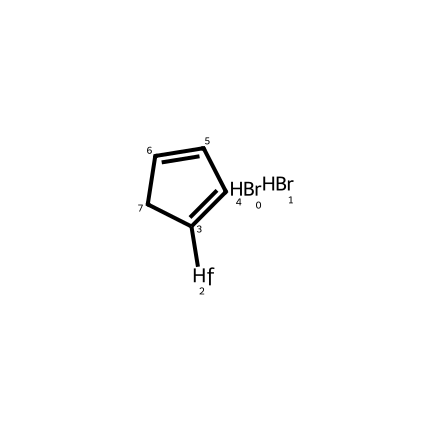 Br.Br.[Hf][C]1=CC=CC1